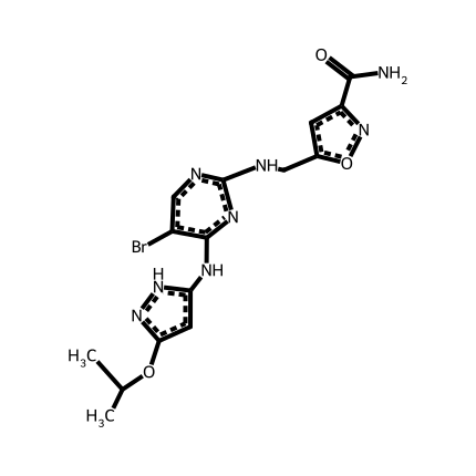 CC(C)Oc1cc(Nc2nc(NCc3cc(C(N)=O)no3)ncc2Br)[nH]n1